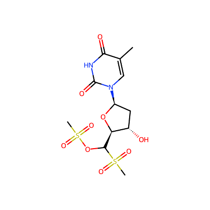 Cc1cn([C@H]2C[C@H](O)[C@@H](C(OS(C)(=O)=O)S(C)(=O)=O)O2)c(=O)[nH]c1=O